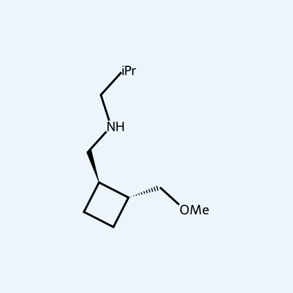 COC[C@@H]1CC[C@H]1CNCC(C)C